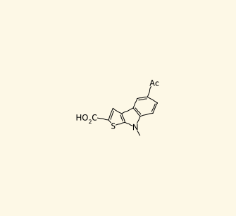 CC(=O)c1ccc2c(c1)c1cc(C(=O)O)sc1n2C